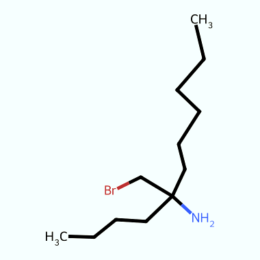 CCCCCCC(N)(CBr)CCCC